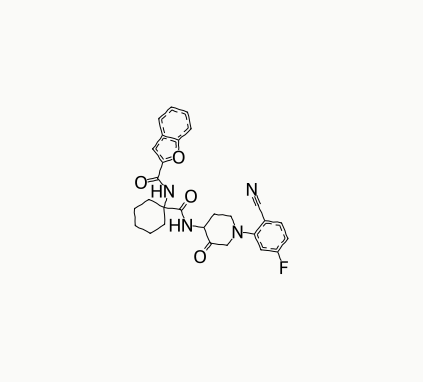 N#Cc1ccc(F)cc1N1CCC(NC(=O)C2(NC(=O)c3cc4ccccc4o3)CCCCC2)C(=O)C1